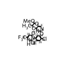 COC(=O)C(C)Oc1ccnc(Oc2cc(-n3c(=O)cc(C(F)(F)F)[nH]c3=O)c(F)cc2Cl)n1